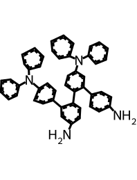 Nc1ccc(-c2cc(N(c3ccccc3)c3ccccc3)ccc2-c2ccc(N)cc2-c2ccc(N(c3ccccc3)c3ccccc3)cc2)cc1